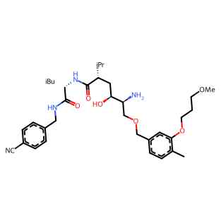 CC[C@H](C)[C@H](NC(=O)[C@@H](C[C@H](O)[C@@H](N)COCc1ccc(C)c(OCCCOC)c1)C(C)C)C(=O)NCc1ccc(C#N)cc1